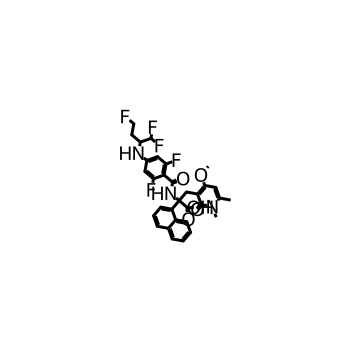 COc1cc(C)n(C)c(=O)c1CC(NC(=O)c1c(F)cc(NC(CCF)C(F)F)cc1F)(C(=O)O)c1cccc2ccccc12